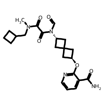 CN(CC1CCC1)C(=O)C(=O)N(C=O)[C@H]1CC2(C[C@H](Oc3ncccc3C(N)=O)C2)C1